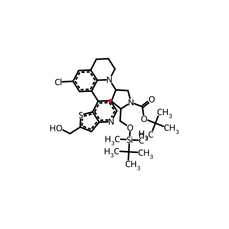 CC(C)(C)OC(=O)N1CC(N2CCCc3cc(Cl)cc(-c4ccnc5cc(CO)sc45)c32)CC1CO[Si](C)(C)C(C)(C)C